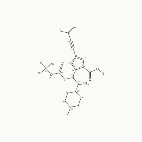 COC(=O)c1sc(C#CC(C)C)cc1N(CC(=O)OC(C)(C)C)C(=O)C1CCC(C)CC1